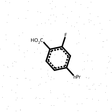 CCCc1ccc(C(=O)O)c(F)c1